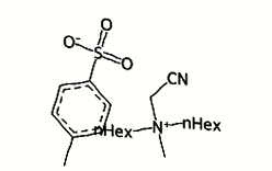 CCCCCC[N+](C)(CC#N)CCCCCC.Cc1ccc(S(=O)(=O)[O-])cc1